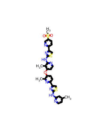 Cc1ccnc(Nc2nc(-c3ccc(Oc4ccnc(Nc5nc(-c6ccc(S(C)(=O)=O)cn6)cs5)c4C)c(C)n3)cs2)c1